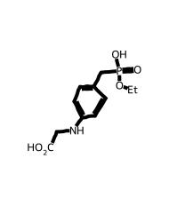 CCOP(=O)(O)Cc1ccc(NCC(=O)O)cc1